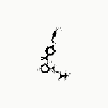 CC#CCOc1ccc(C(=O)N[C@@H]2CNCC[C@@H]2C(=O)NOC(=O)C(F)(F)F)cc1